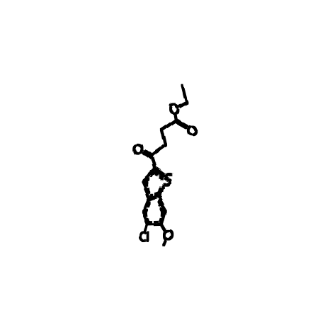 CCOC(=O)CCC(=O)c1cc2cc(Cl)c(OC)cc2s1